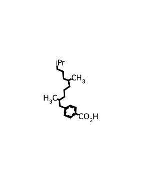 CC(C)CCCC(C)CCCC(C)Cc1ccc(C(=O)O)cc1